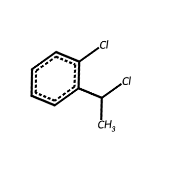 CC(Cl)c1ccccc1Cl